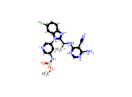 CO[SH](=O)=Nc1cncc(-n2c([C@H](C)Nc3ncnc(N)c3C#N)nc3ccc(F)cc32)c1